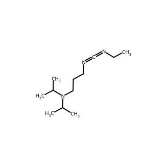 CCN=C=NCCCN(C(C)C)C(C)C